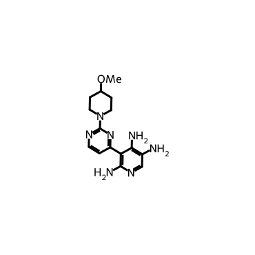 COC1CCN(c2nccc(-c3c(N)ncc(N)c3N)n2)CC1